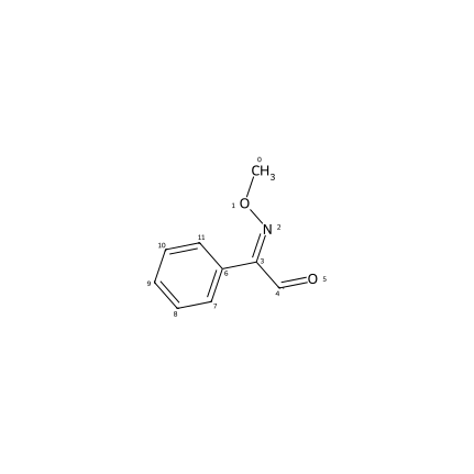 CO/N=C(/[C]=O)c1ccccc1